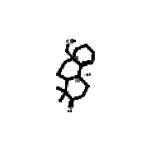 CC1(C)C(=O)CC[C@]2(C)C3=CCCC[C@@]3(CO)CCC12